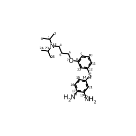 CC(C)N(CCCOc1cccc(Sc2ccc(N)c(N)c2)c1)C(C)C